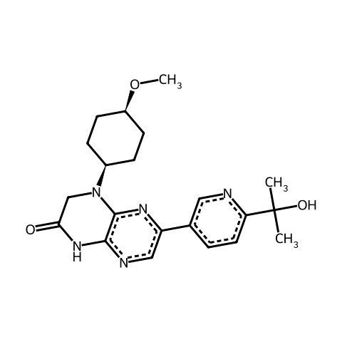 CO[C@H]1CC[C@@H](N2CC(=O)Nc3ncc(-c4ccc(C(C)(C)O)nc4)nc32)CC1